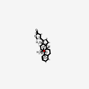 C[C@]12C=CCCC1CC[C@@H]1[C@@H]2CC[C@]2(C)[C@@H]([C@@H]3COC(=O)C3)CC[C@]12OC(N)=O